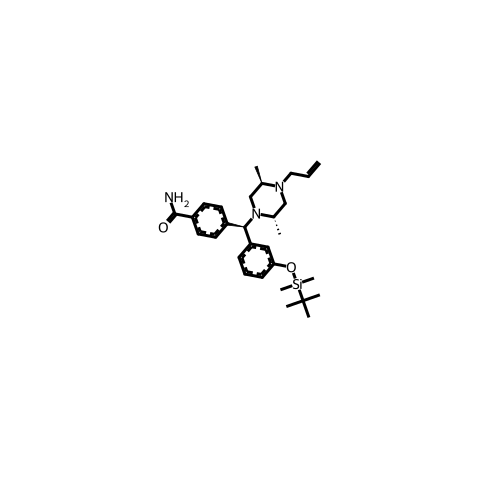 C=CCN1C[C@H](C)N([C@H](c2ccc(C(N)=O)cc2)c2cccc(O[Si](C)(C)C(C)(C)C)c2)C[C@H]1C